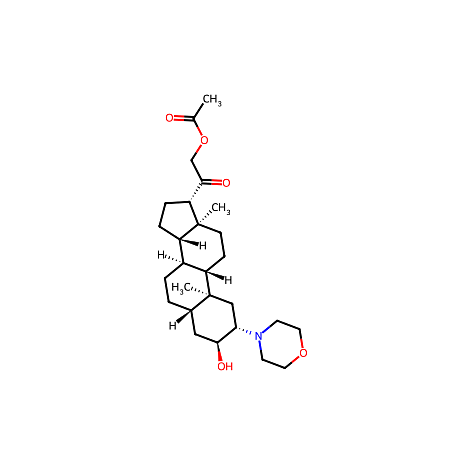 CC(=O)OCC(=O)[C@H]1CC[C@H]2[C@@H]3CC[C@H]4C[C@H](O)[C@@H](N5CCOCC5)C[C@]4(C)[C@H]3CC[C@]12C